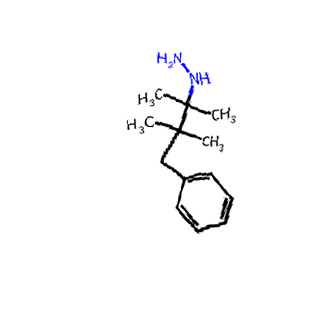 CC(C)(Cc1ccccc1)C(C)(C)NN